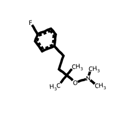 CN(C)OC(C)(C)CCc1ccc(F)cc1